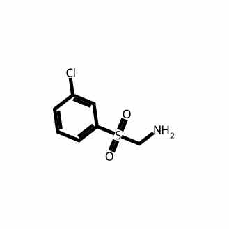 NCS(=O)(=O)c1cccc(Cl)c1